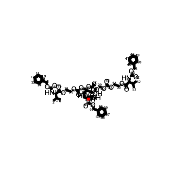 CC(C)[C@H](NC(=O)OCc1ccccc1)C(=O)OCCOC(=O)OCOP(=O)(OCOC(=O)OCCOC(=O)[C@@H](NC(=O)OCc1ccccc1)C(C)C)C(O)(CCCNC(=O)OCc1ccccc1)P(=O)(O)O